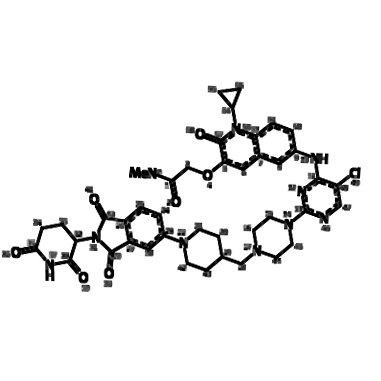 CNC(=O)COc1cc2cc(Nc3nc(N4CCN(CC5CCN(c6ccc7c(c6)C(=O)N(C6CCC(=O)NC6=O)C7=O)CC5)CC4)ncc3Cl)ccc2n(C2CC2)c1=O